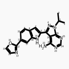 CC(C)n1nc(-c2cc3ccc(-c4ncco4)cc3[nH]2)c2c(N)ncnc21